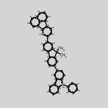 CC1(C)c2cc(-c3ccc4c(c3)c3ccccc3n4-c3ccccc3)ccc2-c2ccc(-c3ccc4c(n3)-c3cccc5cccc-4c35)cc21